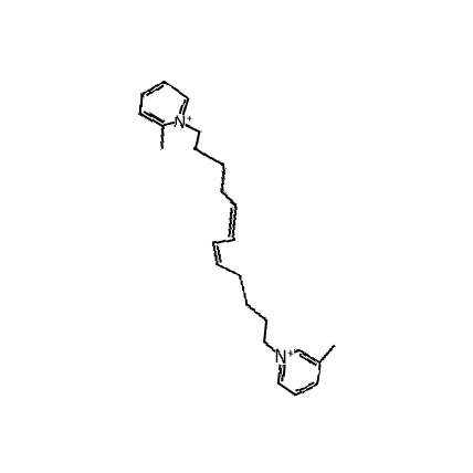 Cc1ccc[n+](CCCC/C=C\C=C/CCCC[n+]2ccccc2C)c1